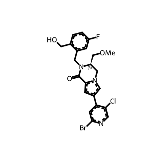 COC[C@H]1Cn2cc(-c3cc(Br)ncc3Cl)cc2C(=O)N1Cc1cc(F)ccc1CO